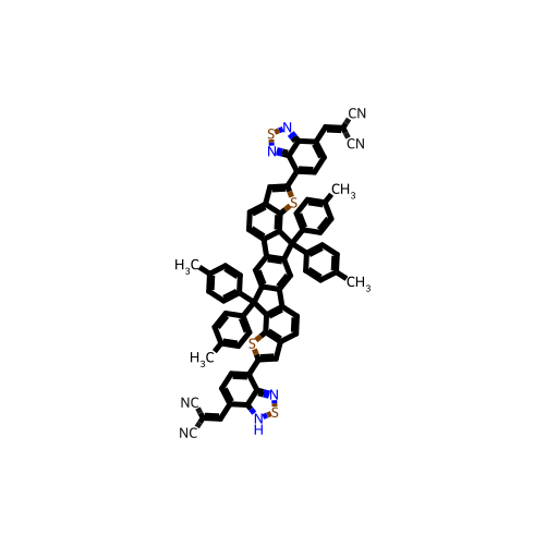 Cc1ccc(C2(c3ccc(C)cc3)c3cc4c(cc3-c3ccc5cc(C6=CC=C(C=C(C#N)C#N)C7NSN=C67)sc5c32)C(c2ccc(C)cc2)(c2ccc(C)cc2)c2c-4ccc3cc(-c4ccc(C=C(C#N)C#N)c5nsnc45)sc23)cc1